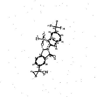 CCS(=O)(=O)c1c(N2Cc3ccc(C4(C#N)CC4)cc3C2=O)nc2ccc(C(C)(F)F)cn12